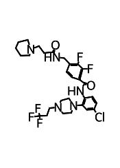 O=C(CCN1CCCCC1)NCc1ccc(C(=O)Nc2ccc(Cl)cc2N2CCN(CCC(F)(F)F)CC2)c(F)c1F